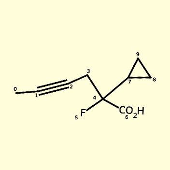 CC#CCC(F)(C(=O)O)C1CC1